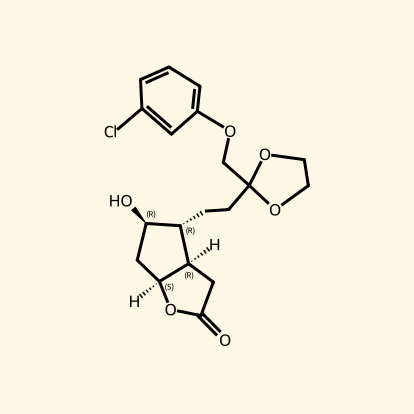 O=C1C[C@@H]2[C@@H](CCC3(COc4cccc(Cl)c4)OCCO3)[C@H](O)C[C@@H]2O1